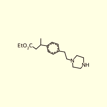 CCOC(=O)CC(C)c1ccc(CCN2CCNCC2)cc1